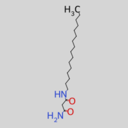 CCCCCCCCCCCCCCCCNC(=O)CC(N)=O